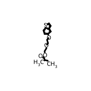 CCC(C)C(=O)OCCOCCOc1ccc2sccc2c1